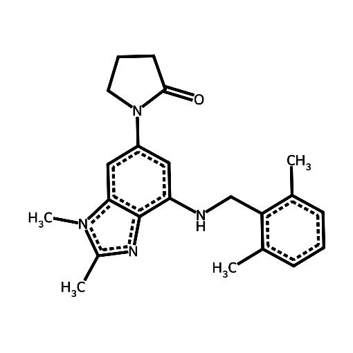 Cc1cccc(C)c1CNc1cc(N2CCCC2=O)cc2c1nc(C)n2C